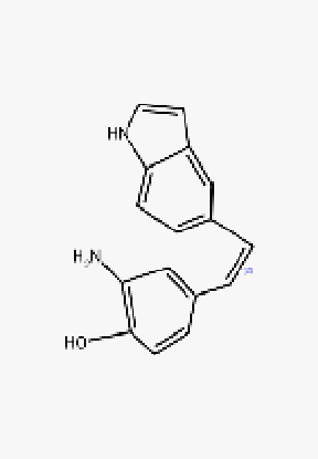 Nc1cc(/C=C\c2ccc3[nH]ccc3c2)ccc1O